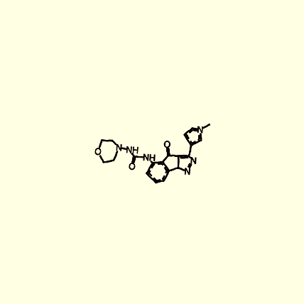 Cn1ccc(C2=C3C(=O)c4c(NC(=O)NN5CCOCC5)cccc4C3N=N2)c1